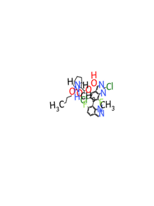 CCCCOC(=O)N1[C@@H]2CC[C@H]1[C@@H]([C@H](C)Oc1c(Cl)c(-c3c(F)ccc4cnn(C)c34)c(F)c3nc(Cl)nc(O)c13)NC2